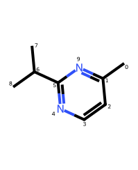 Cc1ccnc(C(C)C)n1